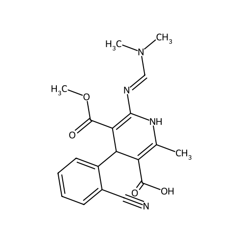 COC(=O)C1=C(N=CN(C)C)NC(C)=C(C(=O)O)C1c1ccccc1C#N